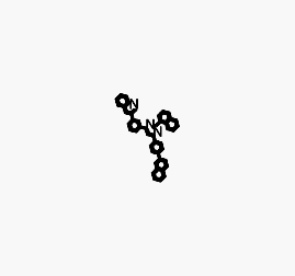 c1cc(-c2cnc3ccccc3c2)cc(-c2cc(-c3ccc(-c4ccc5ccccc5c4)cc3)nc(-c3cccc4ccccc34)n2)c1